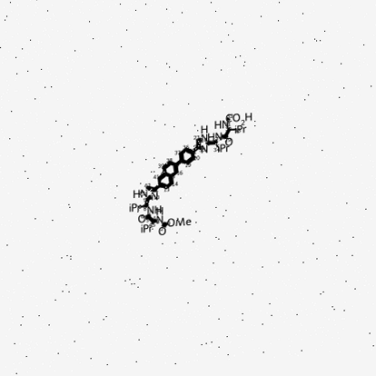 COC(=O)N[C@H](C(=O)N[C@H](c1nc(-c2ccc3cc(-c4ccc(-c5c[nH]c([C@@H](NC(=O)[C@@H](NC(=O)O)C(C)C)C(C)C)n5)cc4)ccc3c2)c[nH]1)C(C)C)C(C)C